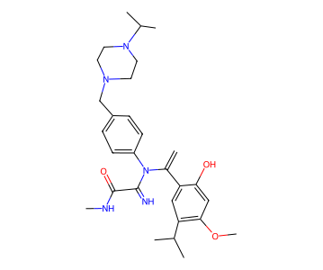 C=C(c1cc(C(C)C)c(OC)cc1O)N(C(=N)C(=O)NC)c1ccc(CN2CCN(C(C)C)CC2)cc1